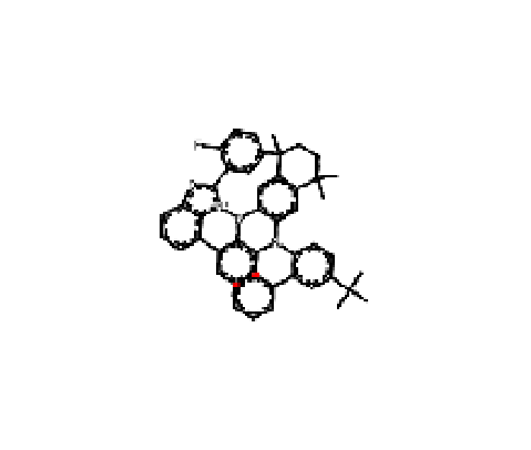 Cc1cc2c3c(c1)N(c1ccc(C(C)(C)C)cc1-c1ccccc1)c1cc4c(cc1B3[n+]1c(-c3ccccc3F)oc3cccc-2c31)C(C)(C)CCC4(C)C